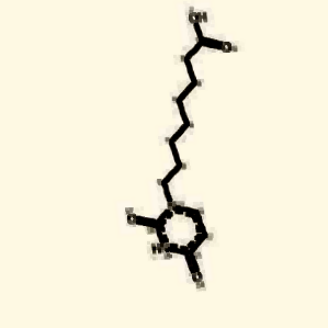 O=C(O)CCCCCCCn1ccc(=O)[nH]c1=O